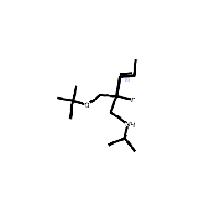 C/C=C/C(F)(CNC(C)C)COC(C)(C)C